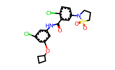 O=C(Nc1cc(Cl)cc(OC2CCC2)c1)c1cc(N2CCCS2(=O)=O)ccc1Cl